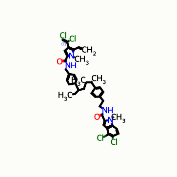 C=Cc1c(/C(Cl)=C/Cl)cc(C(=O)NCC2=CCC(C(CC)CC(C)C(C)c3ccc(CCNC(=O)c4cc5c(Cl)c(Cl)ccc5n4C)cc3)C=C2)n1C